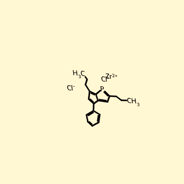 CCCC1=PC2=C(CCC)C=C(c3ccccc3)C2=C1.[Cl-].[Cl-].[Zr+2]